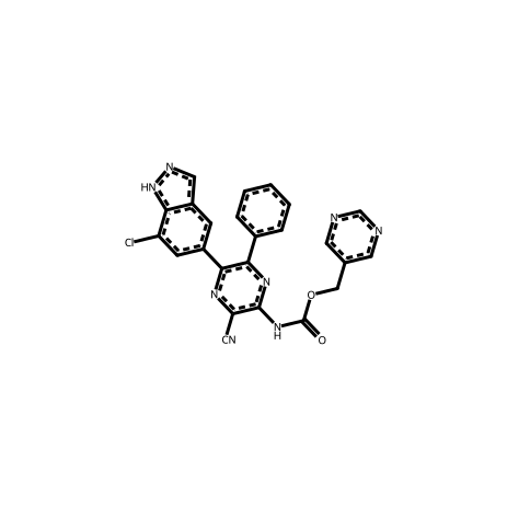 N#Cc1nc(-c2cc(Cl)c3[nH]ncc3c2)c(-c2ccccc2)nc1NC(=O)OCc1cncnc1